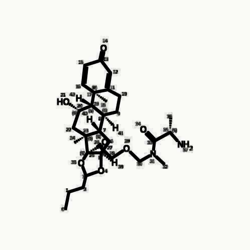 CCCC1O[C@@H]2C[C@H]3[C@@H]4CCC5=CC(=O)C=C[C@]5(C)[C@H]4[C@@H](O)C[C@]3(C)[C@]2(C(=O)COCN(C)C(=O)[C@H](C)N)O1